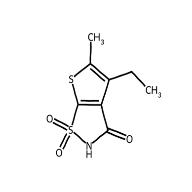 CCc1c(C)sc2c1C(=O)NS2(=O)=O